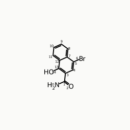 NC(=O)c1cc(Br)c2ccccc2c1O